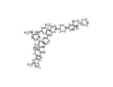 C=CC(=O)Nc1cc(Nc2nc(-c3ccnc(N4CCn5c(cc6c5CC(C)(C)C6)C4=O)c3CO)cnc2OC)ccc1N1CCN(C2CCN(c3cnc4c(c3)OC[C@@H](C3CCOCC3)N4)CC2)C[C@@H]1C